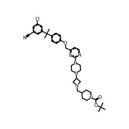 CC(C)(C)OC(=O)N1CCC(CN2CC(N3CCN(c4nccc(COc5ccc(C(C)(C)c6cc(Cl)cc(C#N)c6)cc5)n4)CC3)C2)CC1